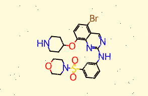 O=S(=O)(c1cccc(Nc2ncc3c(Br)ccc(OC4CCNCC4)c3n2)c1)N1CCOCC1